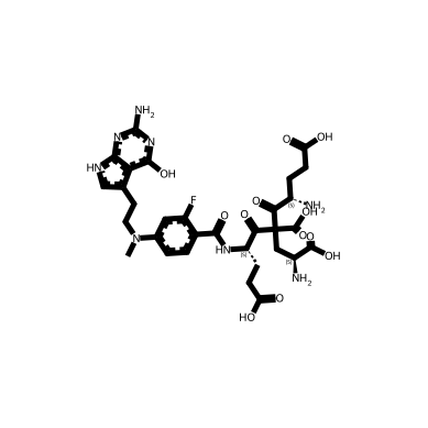 CN(CCc1c[nH]c2nc(N)nc(O)c12)c1ccc(C(=O)N[C@@H](CCC(=O)O)C(=O)C(C[C@H](N)C(=O)O)(C(=O)O)C(=O)[C@@H](N)CCC(=O)O)c(F)c1